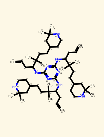 C=CCC(Nc1nc(NC(CC=C)C(C)(C)CCC2CCNC(C)(C)C2)nc(NC(CC=C)C(C)(C)CCC2CCNC(C)(C)C2)n1)C(C)(C)CCC1CCNC(C)(C)C1